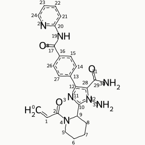 C=CC(=O)N1CCCCC1c1nc(-c2ccc(C(=O)Nc3ccccn3)cc2)c(C(N)=O)n1N